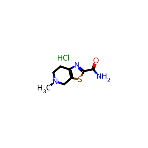 CN1CCc2nc(C(N)=O)sc2C1.Cl